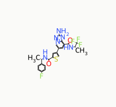 CC(NC(=O)c1cc(-c2csc(C(=O)N[C@@H](C)c3ccc(F)cc3)c2)cn2nc(N)nc12)C(F)(F)F